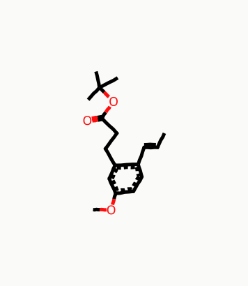 CC=Cc1ccc(OC)cc1CCC(=O)OC(C)(C)C